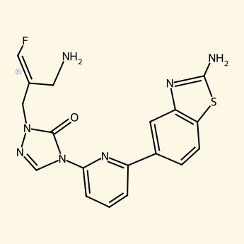 NC/C(=C\F)Cn1ncn(-c2cccc(-c3ccc4sc(N)nc4c3)n2)c1=O